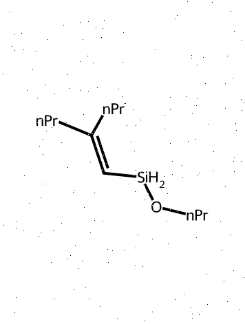 CCCO[SiH2]C=C(CCC)CCC